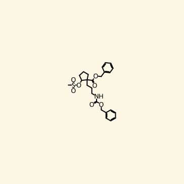 CS(=O)(=O)OC1CCCC1(CCCNC(=O)OCc1ccccc1)C(=O)OCc1ccccc1